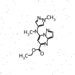 CCOC(=O)c1cc(N(C)c2cnn(C)c2)n2nccc2n1